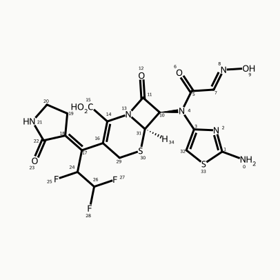 Nc1nc(N(C(=O)C=NO)[C@@H]2C(=O)N3C(C(=O)O)=C(C(=C4CCNC4=O)C(F)C(F)F)CS[C@H]23)cs1